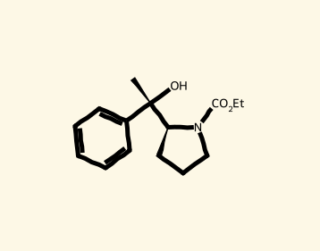 CCOC(=O)N1CCC[C@H]1[C@@](C)(O)c1ccccc1